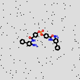 Nc1ccc(-c2ccccc2)cc1NC(=O)c1ccc(O[PH](=O)Oc2ccc(C(=O)Nc3cc(-c4ccccc4)ccc3N)cc2)cc1